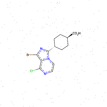 O=C(O)[C@H]1CC[C@H](c2nc(Br)c3c(Cl)nccn32)CC1